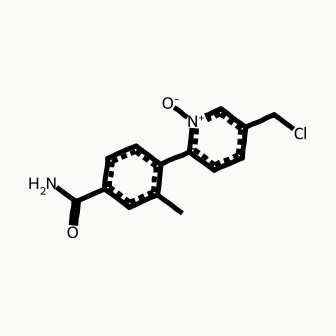 Cc1cc(C(N)=O)ccc1-c1ccc(CCl)c[n+]1[O-]